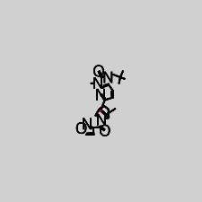 CC1=C(c2ccc3c(n2)n(C)c(=O)n3CC(C)(C)C)C2CCC1N(C(=O)c1ccon1)C2